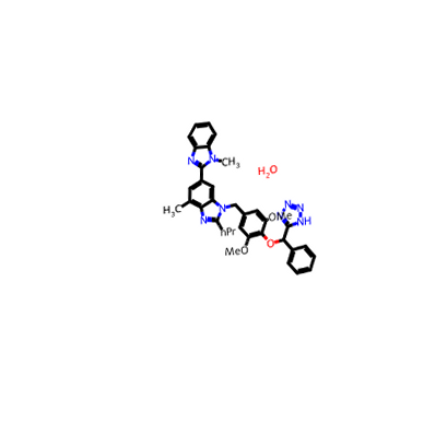 CCCc1nc2c(C)cc(-c3nc4ccccc4n3C)cc2n1Cc1cc(OC)c(OC(c2ccccc2)c2nnn[nH]2)c(OC)c1.O